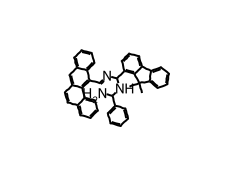 CC1(C)c2ccccc2-c2cccc(C(/N=C/c3c4ccccc4cc4ccc5ccccc5c34)NC(N)c3ccccc3)c21